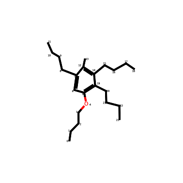 CCCCOc1cc(CCCC)c(C)c(CCCC)c1CCCC